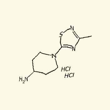 Cc1nsc(N2CCC(N)CC2)n1.Cl.Cl